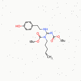 C=CCCCN(C(=O)OC(C)(C)C)/C(=N\C(=O)OC(C)(C)C)NCCc1ccc(O)cc1